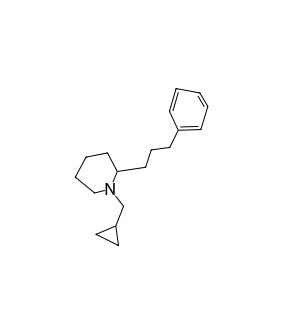 c1ccc(CCCC2CCCCN2CC2CC2)cc1